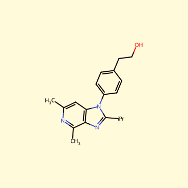 Cc1cc2c(nc(C(C)C)n2-c2ccc(CCO)cc2)c(C)n1